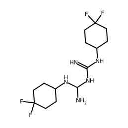 N=C(NC1CCC(F)(F)CC1)NC(N)NC1CCC(F)(F)CC1